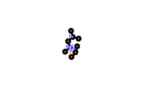 c1ccc(-c2cc(-c3ccccc3)nc(-c3cccc(-c4nc(-c5ccccc5)nc(-n5c6ccccc6c6ccc7c8ccccc8oc7c65)n4)c3)c2)cc1